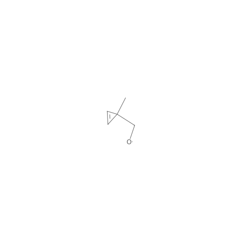 CC1(C[O])C=C1